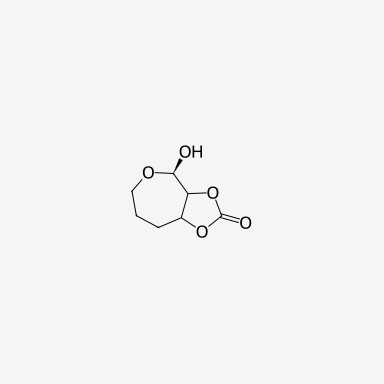 O=C1OC2CCCO[C@@H](O)C2O1